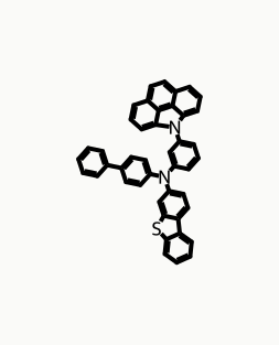 c1ccc(-c2ccc(N(c3cccc(-n4c5cccc6ccc7cccc4c7c65)c3)c3ccc4c(c3)sc3ccccc34)cc2)cc1